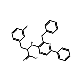 O=C(O)C(Cc1cccc(F)c1)Nc1ncc(-c2ccccc2)nc1Cc1ccccc1